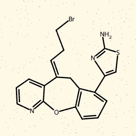 Nc1nc(-c2cccc3c2CC(=CCCBr)c2cccnc2O3)cs1